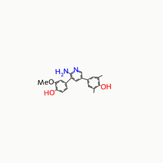 COc1cc(-c2cc(-c3cc(C)c(O)c(C)c3)cnc2N)ccc1O